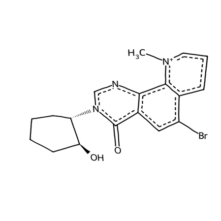 C[n+]1cccc2c(Br)cc3c(=O)n([C@H]4CCCC[C@@H]4O)cnc3c21